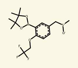 C[S+]([O-])Cc1ccc(OCC(F)(F)F)c(B2OC(C)(C)C(C)(C)O2)c1